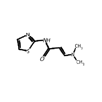 CN(C)C=CC(=O)Nc1nccs1